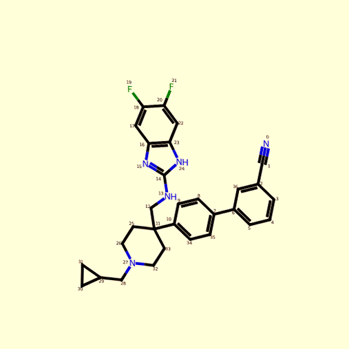 N#Cc1cccc(-c2ccc(C3(CNc4nc5cc(F)c(F)cc5[nH]4)CCN(CC4CC4)CC3)cc2)c1